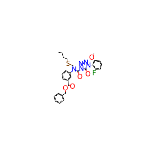 CCCCSCN(C(=O)n1nnn(-c2c(F)cccc2OC)c1=O)c1cccc(C(=O)OCc2ccccc2)c1